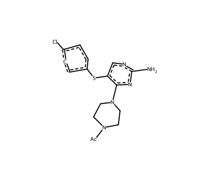 CC(=O)N1CCN(c2nc(N)ncc2Sc2ccc(Cl)cc2)CC1